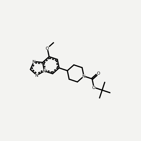 COc1cc(C2CCN(C(=O)OC(C)(C)C)CC2)cn2ncnc12